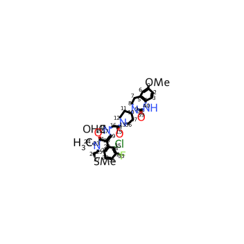 COc1ccc2c(c1)CCN(C1CCN(C(=O)CN(C=O)/C=C(\C(=O)N(C)CCSC)c3cccc(F)c3Cl)CC1)C(=O)N2